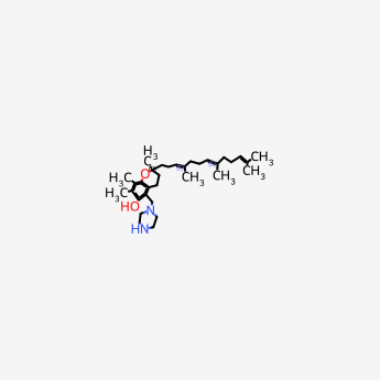 CC(C)=CCC/C(C)=C/CC/C(C)=C/CC[C@]1(C)CCc2c(CN3CCNCC3)c(O)c(C)c(C)c2O1